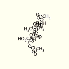 Cc1cc(C)c(C(C)(C)CC(=O)Nc2ccc3c(C)cc(=O)oc3c2)c(OC(=O)CC(C(=O)N[C@@H]2C(=O)N3C(C(=O)O)C(/C=C\COc4ccc5c(C)cc(=O)oc5c4)CS[C@H]23)c2ccccc2)c1